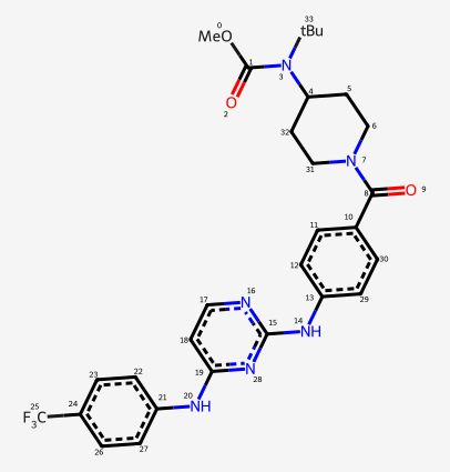 COC(=O)N(C1CCN(C(=O)c2ccc(Nc3nccc(Nc4ccc(C(F)(F)F)cc4)n3)cc2)CC1)C(C)(C)C